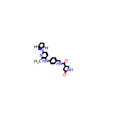 Cc1nc(N2C[C@H]3CC[C@@H]2C3)ccc1Nc1ccc(CNC(=O)C2CNC(=O)C2)cc1